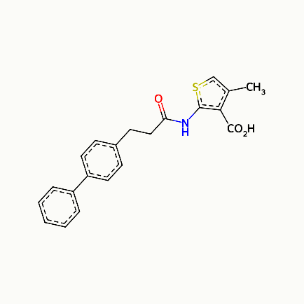 Cc1csc(NC(=O)CCc2ccc(-c3ccccc3)cc2)c1C(=O)O